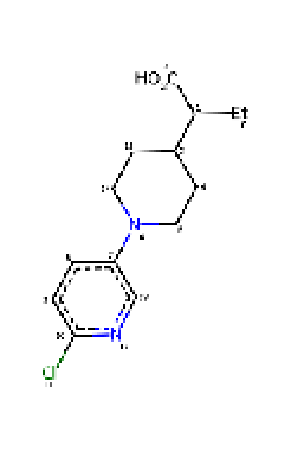 CCC(C(=O)O)C1CCN(c2ccc(Cl)nc2)CC1